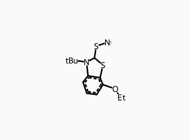 CCOc1cccc2c1SC(S[N])N2C(C)(C)C